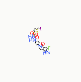 CNc1c(F)cc2c(=O)n(-c3ccc(NC(=O)NS(=O)(=O)c4ccc(CI)s4)cc3)ccc2c1C